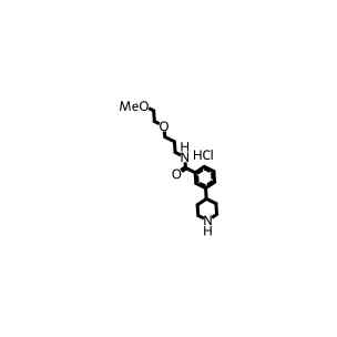 COCCOCCCNC(=O)c1cccc(C2CCNCC2)c1.Cl